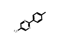 Cc1ccc(-c2ncc(C(F)(F)F)cn2)cc1